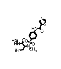 CC(C)CC(C(=O)NO)N(C)S(=O)(=O)c1ccc(NC(=O)c2cncs2)cc1